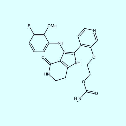 COc1c(F)cccc1Nc1c(-c2ccncc2OCCOC(N)=O)[nH]c2c1C(=O)NCC2